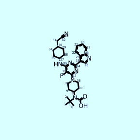 CC(C)(C)N(C(=O)O)C1CCN(c2nc(-c3cnn4ccccc34)nc(N[C@H]3CC[C@H](CC#N)CC3)c2F)CC1